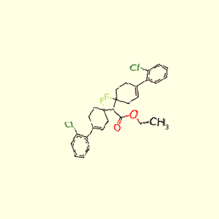 CCOC(=O)C(C1(F)CC=C(c2ccccc2Cl)CC1)C1(F)CC=C(c2ccccc2Cl)CC1